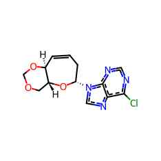 Clc1ncnc2c1ncn2[C@H]1CC=C[C@@H]2OCOC[C@H]2O1